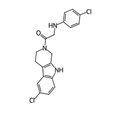 O=C(CNc1ccc(Cl)cc1)N1CCc2c([nH]c3ccc(Cl)cc23)C1